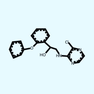 OC(CNc1nccnc1Cl)c1ccccc1Oc1ccccc1